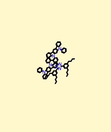 CCCCc1cc(CCCC)cc(-c2nc(-c3cc(CCCC)cc(CCCC)c3)nc(-c3ccc(-n4c5ccccc5c5cc6c7ccccc7n(-c7ccccc7)c6cc54)c(-c4ccccc4-n4c5ccccc5c5cc6c7ccccc7n(-c7ccccc7)c6cc54)c3)n2)c1